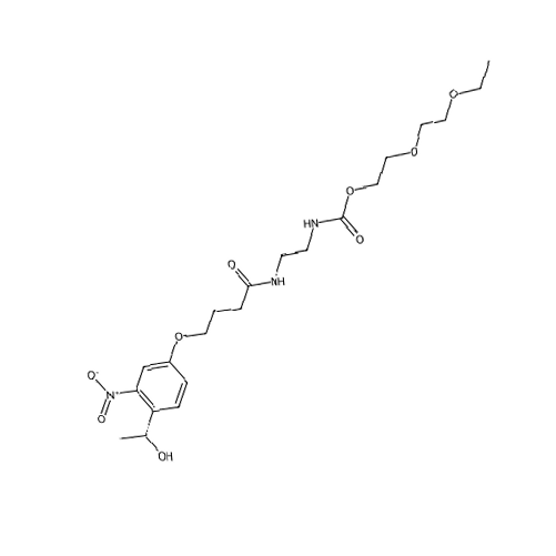 CCOCCOCCOC(=O)NCCNC(=O)CCCOc1ccc(C(C)O)c([N+](=O)[O-])c1